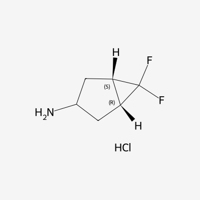 Cl.NC1C[C@@H]2[C@H](C1)C2(F)F